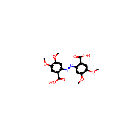 COc1cc(N=Nc2cc(OC)c(OC)cc2C(=O)O)c(C(=O)O)cc1OC